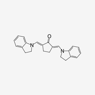 O=C1/C(=C/N2CCc3ccccc32)CC/C1=C\N1CCc2ccccc21